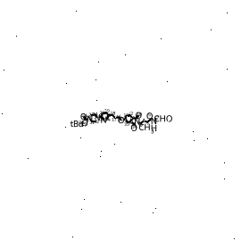 CC(CCC(=O)NC=O)N1C(=O)c2ccc(OCCCc3ccc(N4CCN(C(=O)OC(C)(C)C)CC4)nc3)cc2C1=O